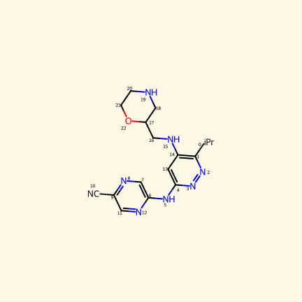 CC(C)c1nnc(Nc2cnc(C#N)cn2)cc1NCC1CNCCO1